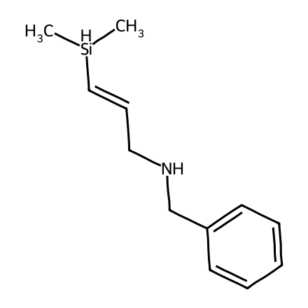 C[SiH](C)C=CCNCc1ccccc1